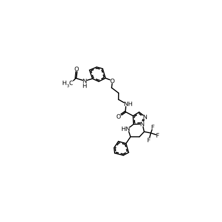 CC(=O)Nc1cccc(OCCCNC(=O)c2cnn3c2NC(c2ccccc2)CC3C(F)(F)F)c1